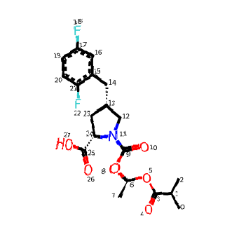 CC(C)C(=O)O[C@@H](C)OC(=O)N1C[C@@H](Cc2cc(F)ccc2F)C[C@H]1C(=O)O